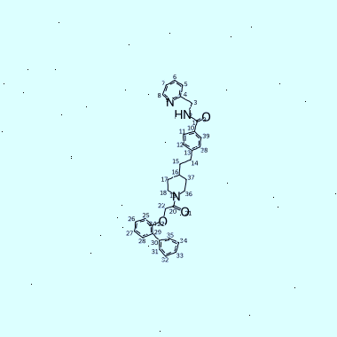 O=C(NCc1ccccn1)c1ccc(CCC2CCN(C(=O)COc3ccccc3-c3ccccc3)CC2)cc1